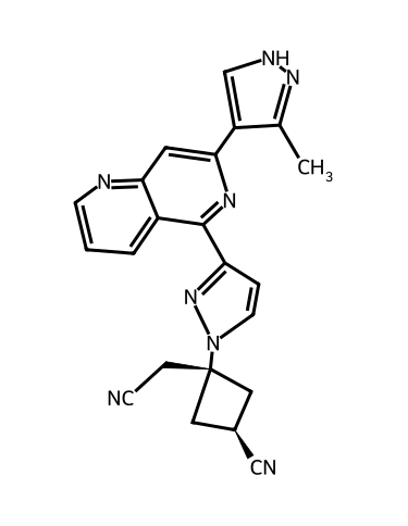 Cc1n[nH]cc1-c1cc2ncccc2c(-c2ccn([C@]3(CC#N)C[C@@H](C#N)C3)n2)n1